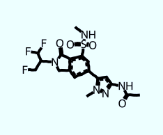 CNS(=O)(=O)c1cc(-c2cc(NC(C)=O)nn2C)cc2c1C(=O)N(C(CF)C(F)F)C2